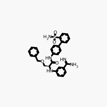 N=C(N)c1cccc(N[C@@H](COCc2ccccc2)C(=O)Nc2ccc(-c3ccccc3S(N)(=O)=O)cc2)c1